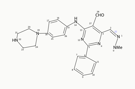 CN/N=C\c1nc(-c2ccccc2)nc(Nc2ccc(N3CCNCC3)cc2)c1C=O